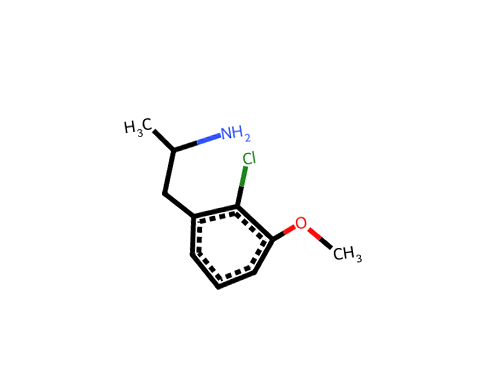 COc1cccc(CC(C)N)c1Cl